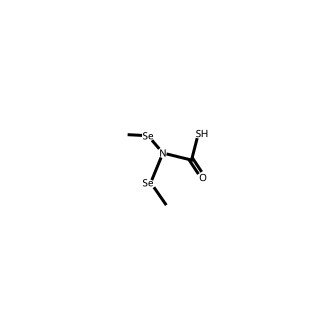 C[Se]N([Se]C)C(=O)S